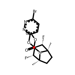 CC(C)(C)OC(=O)N1[C@@]2(C)CC[C@]1(C)[C@@H](F)C(Oc1ccc(Br)nn1)[C@H]2F